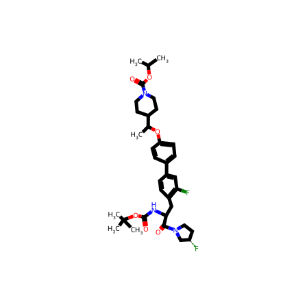 CC(C)OC(=O)N1CCC(C(C)Oc2ccc(-c3ccc(CC(NC(=O)OC(C)(C)C)C(=O)N4CC[C@H](F)C4)c(F)c3)cc2)CC1